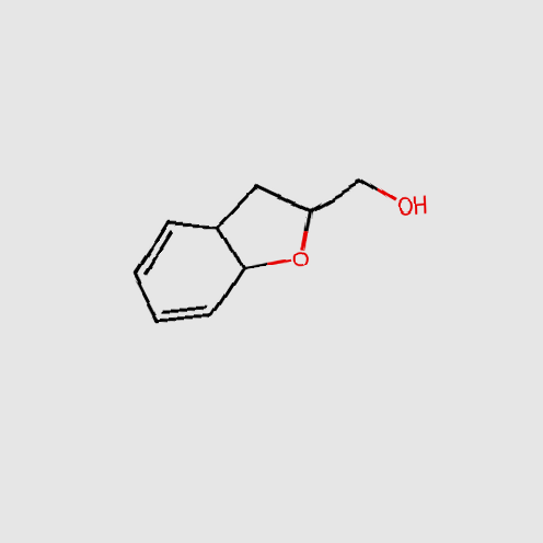 OCC1CC2C=CC=CC2O1